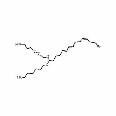 OCCCCCCOC(CCCCCCCCC/C=C\CCBr)OCCCCCCO